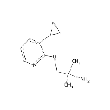 CC(C)(N)COc1ncccc1C1CC1